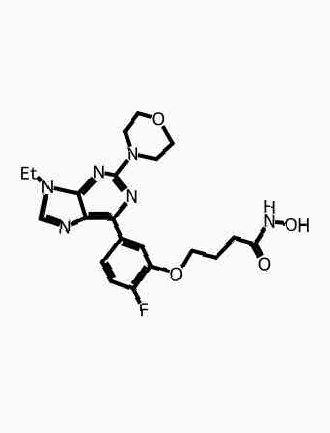 CCn1cnc2c(-c3ccc(F)c(OCCCC(=O)NO)c3)nc(N3CCOCC3)nc21